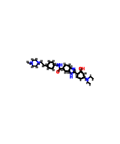 CCN(CC)c1ccc(-c2nc3ccc(C(=O)Nc4ccc(CCN5CCN(C)CC5)cc4)cc3[nH]2)c(O)c1